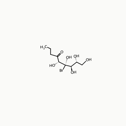 CCCC(=O)[C@@H](O)[C@](O)(Br)[C@H](O)[C@H](O)CO